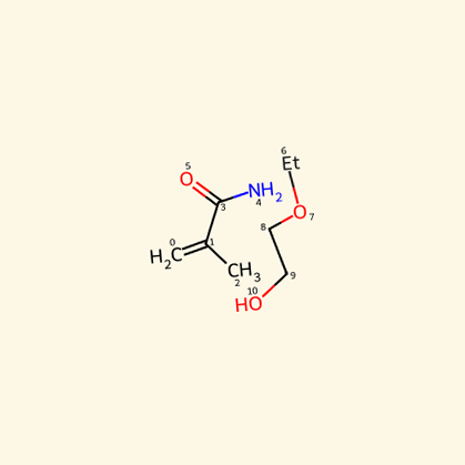 C=C(C)C(N)=O.CCOCCO